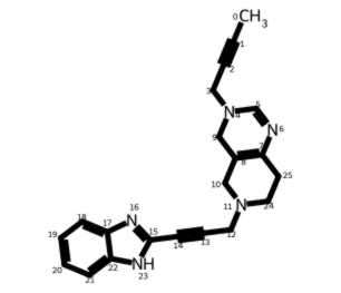 CC#CCN1C=NC2=C(C1)CN(CC#Cc1nc3ccccc3[nH]1)CC2